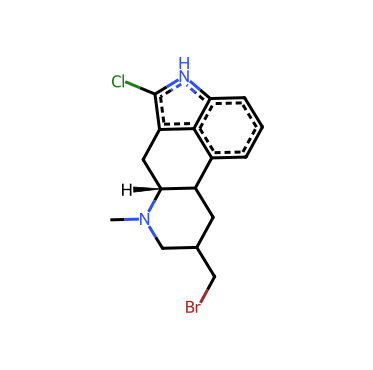 CN1CC(CBr)CC2c3cccc4[nH]c(Cl)c(c34)C[C@H]21